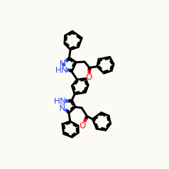 O=C(Cc1c(-c2ccccc2)n[nH]c1-c1cccc(-c2[nH]nc(-c3ccccc3)c2CC(=O)c2ccccc2)c1)c1ccccc1